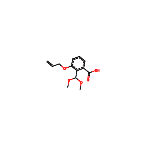 C=CCOc1cccc(C(=O)O)c1C(OC)OC